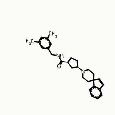 O=C(NCc1cc(C(F)(F)F)cc(C(F)(F)F)c1)[C@H]1CC[C@@H](N2CCC3(C=Cc4ccccc43)CC2)C1